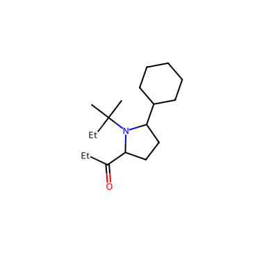 CCC(=O)C1CCC(C2CCCCC2)N1C(C)(C)CC